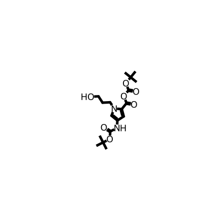 CC(C)(C)OC(=O)Nc1cc(C(=O)OC(=O)OC(C)(C)C)n(CCCO)c1